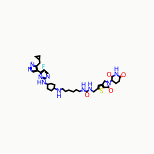 Cn1ncc(-c2nc(NC3CCC(NCCCCCCNC(=O)NCc4cc5c(s4)C(=O)N(C4CCC(=O)NC4=O)C5)CC3)ncc2F)c1CC1CC1